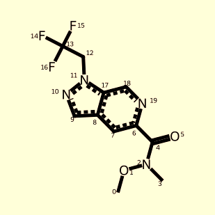 CON(C)C(=O)c1cc2cnn(CC(F)(F)F)c2cn1